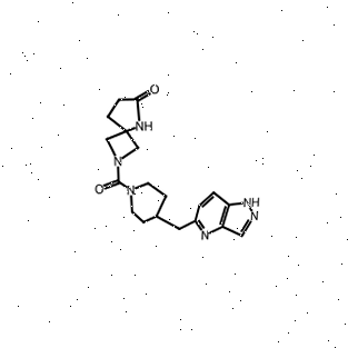 O=C1CCC2(CN(C(=O)N3CCC(Cc4ccc5[nH]ncc5n4)CC3)C2)N1